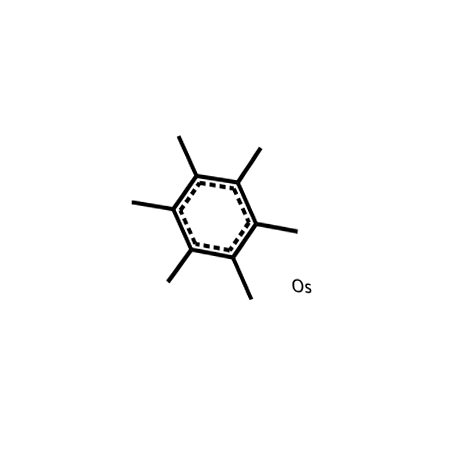 Cc1c(C)c(C)c(C)c(C)c1C.[Os]